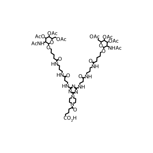 CC(=O)NC1C(OCCCCC(=O)NCCCNC(=O)CCNc2nc(NCCC(=O)NCCCNC(=O)CCCCOC3OC(COC(C)=O)C(OC(C)=O)C(OC(C)=O)C3NC(C)=O)nc(N3CCN(C(=O)CCCC(=O)O)CC3)n2)OC(COC(C)=O)C(OC(C)=O)C1OC(C)=O